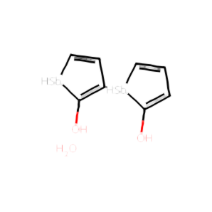 O.O[C]1=CC=[CH][SbH]1.O[C]1=CC=[CH][SbH]1